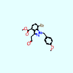 COC(=O)c1ccc(Br)c2c1c(CC=O)nn2Cc1ccc(OC)cc1